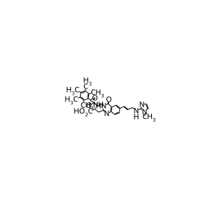 Cc1c(C)c(C)c(S(=O)(=O)N[C@@H](Cc2nc3ccc(C=CCNc4nccn4C)cc3c(=O)[nH]2)C(=O)O)c(C)c1C